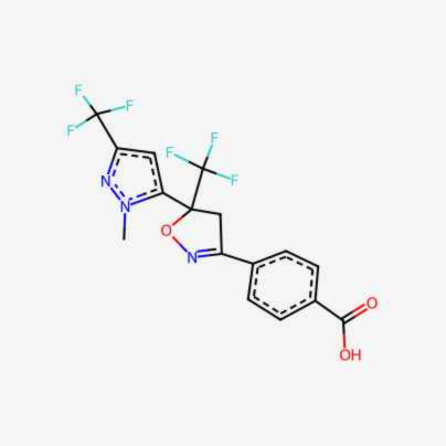 Cn1nc(C(F)(F)F)cc1C1(C(F)(F)F)CC(c2ccc(C(=O)O)cc2)=NO1